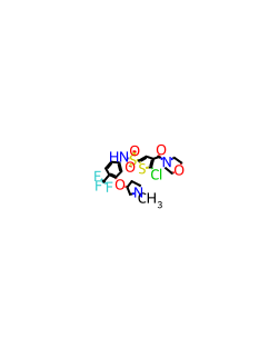 CN1CCC(Oc2cc(NS(=O)(=O)c3cc(C(=O)N4CCOCC4)c(Cl)s3)ccc2C(F)(F)F)C1